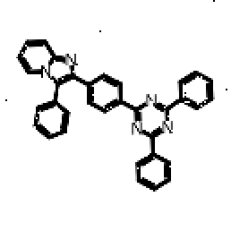 c1ccc(-c2nc(-c3ccccc3)nc(-c3ccc(-c4nc5ccccn5c4-c4ccccc4)cc3)n2)cc1